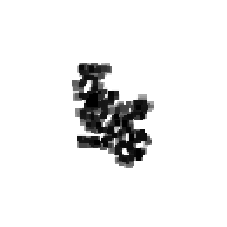 CCOC(=O)C1=C(CN2CC(F)(F)[C@H]3[C@@H]2CCN3[C@H]2CC[C@H](C(=O)O)CC2)NC(c2nccs2)=N[C@H]1c1cccc(F)c1C